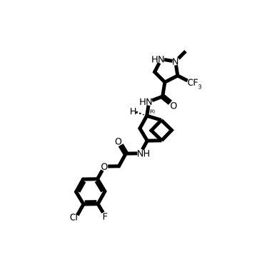 CN1NCC(C(=O)N[C@@H]2CC(NC(=O)COc3ccc(Cl)c(F)c3)C3CC2C3)C1C(F)(F)F